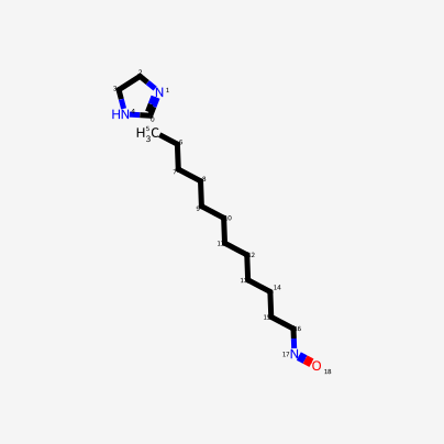 C1=NCCN1.CCCCCCCCCCCCN=O